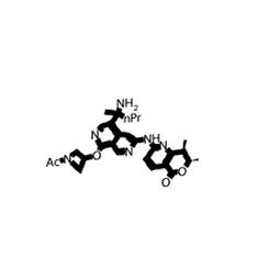 CCCC(C)(N)c1cnc(OC2CN(C(C)=O)C2)c2cnc(Nc3ccc4c(n3)[C@@H](C)[C@H](C)OC4=O)cc12